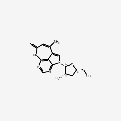 C[C@H]1C[C@@H](CO)O[C@H]1n1cc2c3c(ncnc31)NC(=S)C=C2N